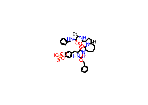 CC[C@H](NC(=O)C1CC[C@@H]2CCCCC(NC(=O)[C@H](Cc3ccc(OP(=O)(O)O)cc3)NC(=O)OCc3ccccc3)C(=O)N12)C(=O)NCc1ccccc1